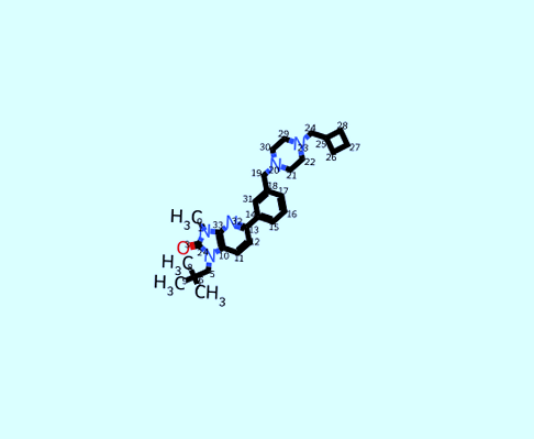 Cn1c(=O)n(CC(C)(C)C)c2ccc(-c3cccc(CN4CCN(CC5CCC5)CC4)c3)nc21